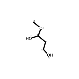 COC(O)CCO